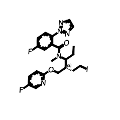 CCC([C@H](CCI)COc1ccc(F)cn1)N(C)C(=O)c1cc(F)ccc1-n1nccn1